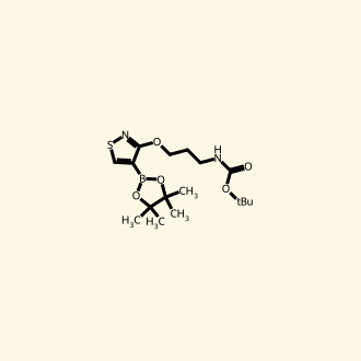 CC(C)(C)OC(=O)NCCCOc1nscc1B1OC(C)(C)C(C)(C)O1